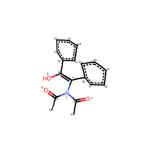 CC(=O)N(C(C)=O)C(=C(O)c1ccccc1)c1ccccc1